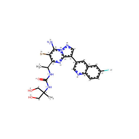 CC(NC(=O)NC(C)(CO)CO)c1nc2c(-c3cnc4ccc(F)cc4c3)cnn2c(N)c1Br